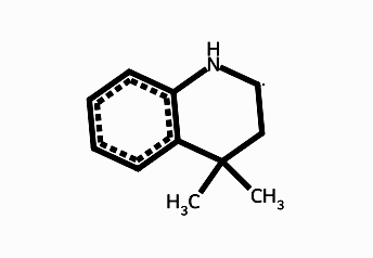 CC1(C)C[CH]Nc2ccccc21